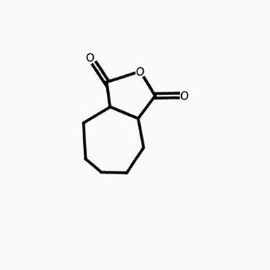 O=C1OC(=O)C2CCCCCC12